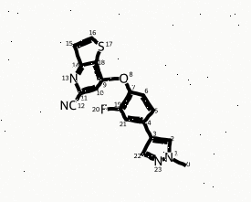 Cn1cc(-c2ccc(Oc3cc(C#N)nc4ccsc34)c(F)c2)cn1